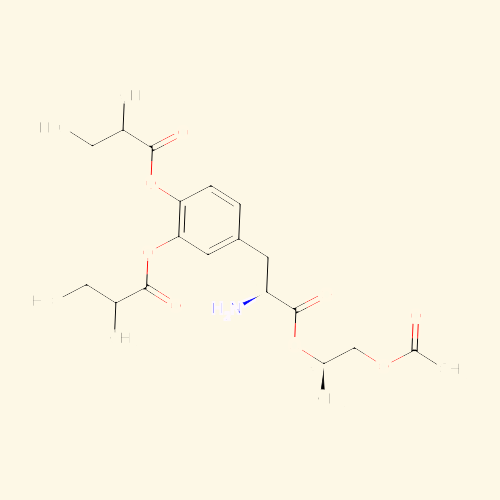 CCC(C)C(=O)Oc1ccc(C[C@H](N)C(=O)O[C@H](C)COC(C)=O)cc1OC(=O)C(C)CC